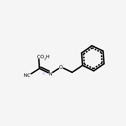 N#C/C(=N/OCc1ccccc1)C(=O)O